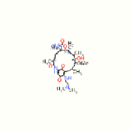 CO[C@H]1/C=C\C=C(/C)C(=O)NC2=CC(=O)C(NCCN(C)C)=C(CC(C)C[C@H](OC)[C@H](O)C(C)/C=C(\C)[C@@H]1OC(N)=O)C2=O